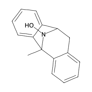 CC12c3ccccc3CC(c3ccccc31)N2O